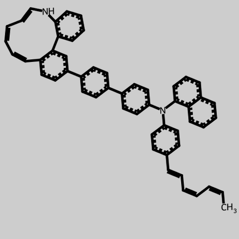 C\C=C/C=C\C=C\c1ccc(N(c2ccc(-c3ccc(-c4ccc5c(c4)-c4ccccc4N/C=C/C=C\C=C/5)cc3)cc2)c2cccc3ccccc23)cc1